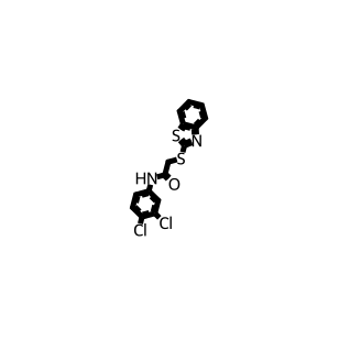 O=C(CSc1nc2ccccc2s1)Nc1ccc(Cl)c(Cl)c1